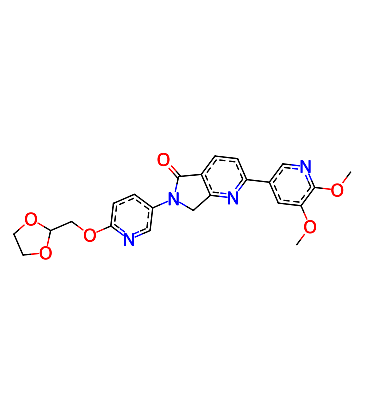 COc1cc(-c2ccc3c(n2)CN(c2ccc(OCC4OCCO4)nc2)C3=O)cnc1OC